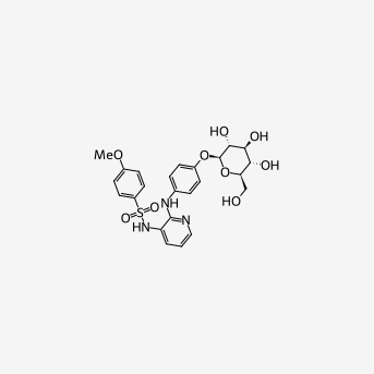 COc1ccc(S(=O)(=O)Nc2cccnc2Nc2ccc(O[C@@H]3O[C@H](CO)[C@@H](O)[C@H](O)[C@H]3O)cc2)cc1